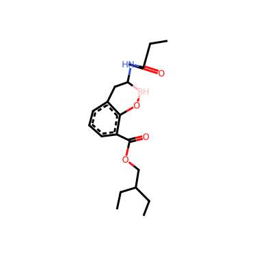 CCC(=O)NC1BOc2c(cccc2C(=O)OCC(CC)CC)C1